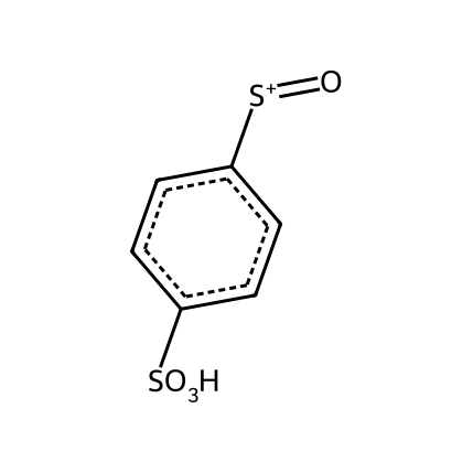 O=[S+]c1ccc(S(=O)(=O)O)cc1